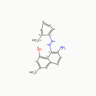 Nc1ccc2cc(S(=O)(=O)O)cc(O)c2c1N=Nc1ccccc1S(=O)(=O)O